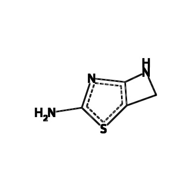 Nc1nc2c(s1)CN2